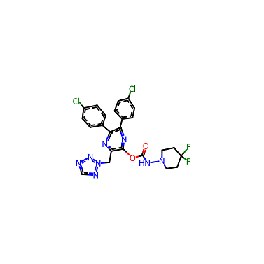 O=C(NN1CCC(F)(F)CC1)Oc1nc(-c2ccc(Cl)cc2)c(-c2ccc(Cl)cc2)nc1Cn1ncnn1